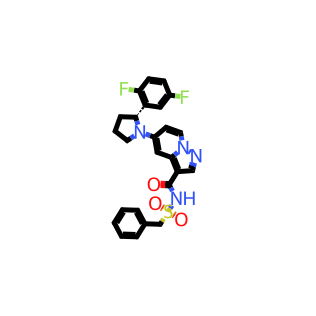 O=C(NS(=O)(=O)Cc1ccccc1)c1cnn2ccc(N3CCC[C@@H]3c3cc(F)ccc3F)cc12